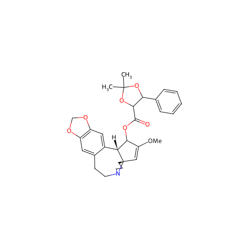 COC1=C[C@]23CCCN2CCc2cc4c(cc2[C@@H]3C1OC(=O)C1OC(C)(C)OC1c1ccccc1)OCO4